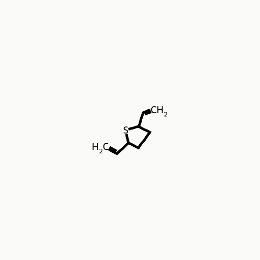 C=CC1CCC(C=C)S1